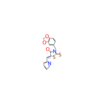 O=C1/C(=C/c2ccccn2)SC(=S)N1Cc1ccc2c(c1)OCO2